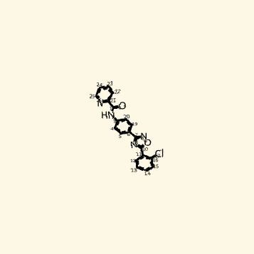 O=C(Nc1ccc(-c2noc(-c3ccccc3Cl)n2)cc1)c1ccccn1